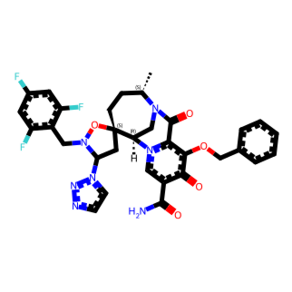 C[C@H]1CC[C@]2(CC(n3ccnn3)N(Cc3c(F)cc(F)cc3F)O2)[C@H]2CN1C(=O)c1c(OCc3ccccc3)c(=O)c(C(N)=O)cn12